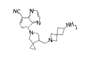 N#Cc1ccc(N2CC(CN3CC4(CC(N)C4)C3)C3(CC3)C2)c2nccnc12